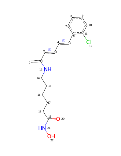 C=C(/C=C/C=C/c1ccccc1Cl)NCCCCCC(=O)NO